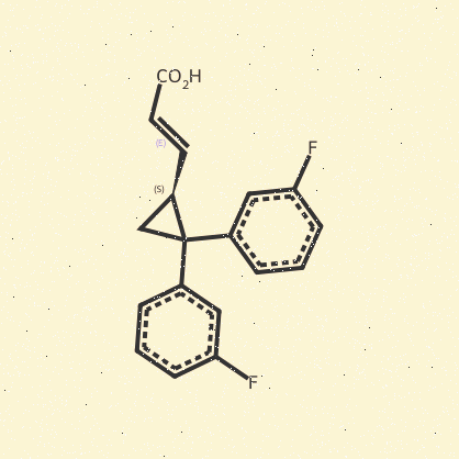 O=C(O)/C=C/[C@@H]1CC1(c1cccc(F)c1)c1cccc(F)c1